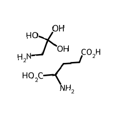 NC(CCC(=O)O)C(=O)O.NCC(O)(O)O